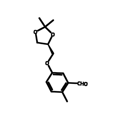 Cc1ccc(OC[C@H]2COC(C)(C)O2)cc1C=O